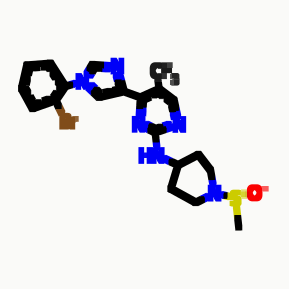 C[S+]([O-])N1CCC(Nc2ncc(C(F)(F)F)c(-c3cn(-c4ccccc4Br)cn3)n2)CC1